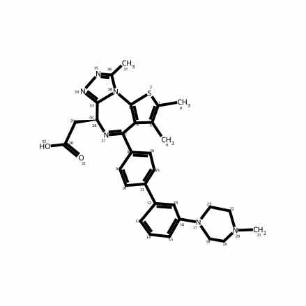 Cc1sc2c(c1C)C(c1ccc(-c3cccc(N4CCN(C)CC4)c3)cc1)=N[C@@H](CC(=O)O)c1nnc(C)n1-2